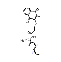 C=C(/C=C\C=C/C)[C@H](CO)NC(=O)CCCC1=C(C)C(=O)c2ccccc2C1=O